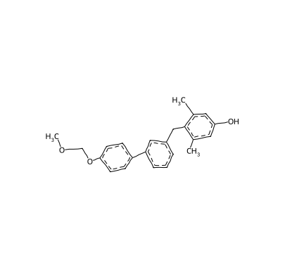 COCOc1ccc(-c2cccc(Cc3c(C)cc(O)cc3C)c2)cc1